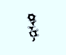 CCN1CCN(C(=O)Sc2nc3ccccc3s2)C(=O)C1=O